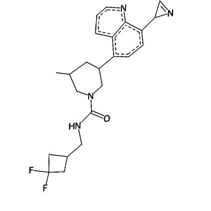 CC1CC(c2ccc(C3C=N3)c3ncccc23)CN(C(=O)NCC2CC(F)(F)C2)C1